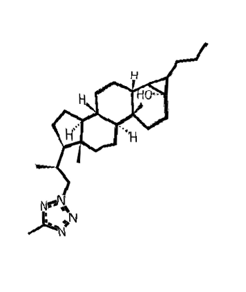 CCCC1C2[C@H]3CC[C@@H]4[C@H](CC[C@]5(C)[C@@H]([C@H](C)Cn6nnc(C)n6)CC[C@@H]45)[C@@]3(C)CC[C@]12O